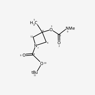 CNC(=O)OC1(C)CN(C(=O)OC(C)(C)C)C1